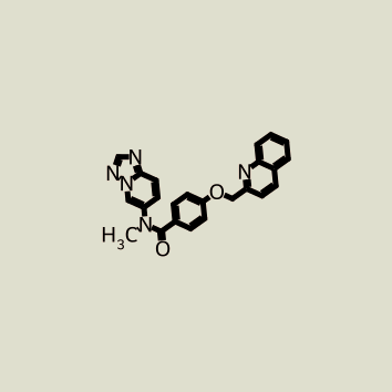 CN(C(=O)c1ccc(OCc2ccc3ccccc3n2)cc1)c1ccc2ncnn2c1